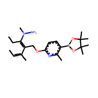 C/C=C(C)\C(COc1ccc(B2OC(C)(C)C(C)(C)O2)c(C)n1)=C(/CC)N(C)N